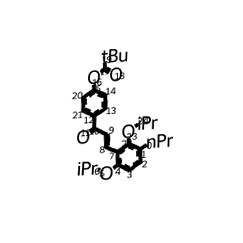 CCCc1ccc(OC(C)C)c(C=CC(=O)c2ccc(OC(=O)C(C)(C)C)cc2)c1OC(C)C